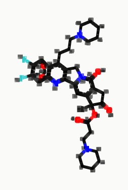 CCC1(OC(=O)CCN2CCCCC2)C(=O)Cc2c1cc1n(c2=O)Cc2c-1nc1c3c(F)c(F)c(c1c2CCCN1CCCCC1)OCO3